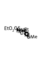 CCOC(=O)c1cnc(NC(=O)[C@@H](CC)c2ccc(OC)cc2)s1